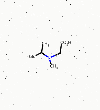 CC(N(C)CC(=O)O)C(C)(C)C